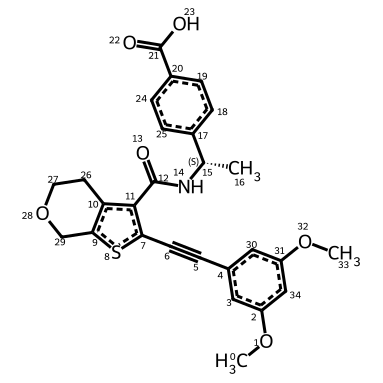 COc1cc(C#Cc2sc3c(c2C(=O)N[C@@H](C)c2ccc(C(=O)O)cc2)CCOC3)cc(OC)c1